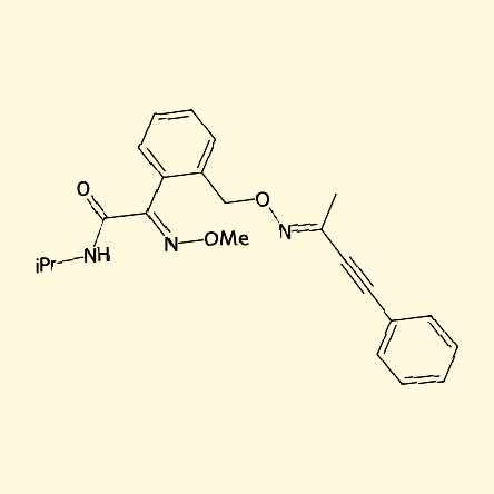 CO/N=C(/C(=O)NC(C)C)c1ccccc1CO/N=C(\C)C#Cc1ccccc1